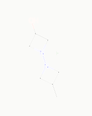 CC1CN(N2CC(O)C2)C1.Cl